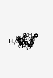 COC(=O)C[C@@H]1N=C(c2ccc(N3CCCc4ccc(C(=O)OCc5ccccc5)cc43)cc2)c2c(sc(C)c2C)-n2c(C)nnc21